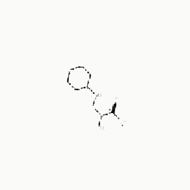 CN(SNC1CCCCC1)C(=O)O